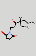 CCCC(C)(CC)C(=O)CCN1C(=O)C=CC1=O